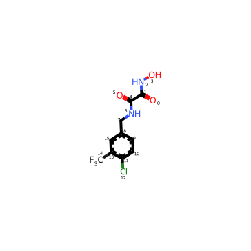 O=C(NO)C(=O)NCc1ccc(Cl)c(C(F)(F)F)c1